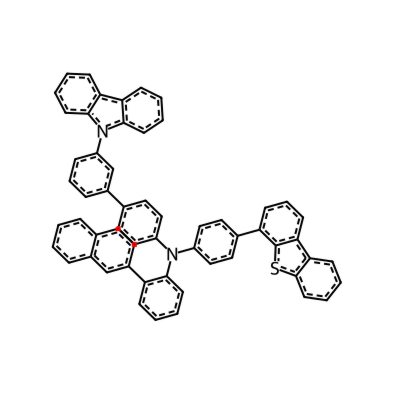 c1cc(-c2ccc(N(c3ccc(-c4cccc5c4sc4ccccc45)cc3)c3ccccc3-c3ccc4ccccc4c3)cc2)cc(-n2c3ccccc3c3ccccc32)c1